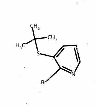 CC(C)(C)Sc1cccnc1Br